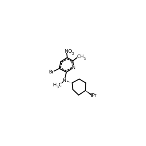 Cc1nc(N(C)[C@H]2CC[C@H](C(C)C)CC2)c(Br)cc1[N+](=O)[O-]